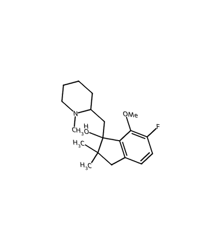 COc1c(F)ccc2c1C(O)(CC1CCCCN1C)C(C)(C)C2